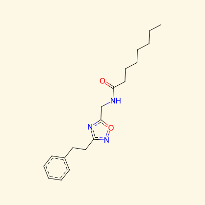 CCCCCCCC(=O)NCc1nc(CCc2ccccc2)no1